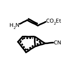 CCOC(=O)C=CN.N#Cc1c2cccc1-2